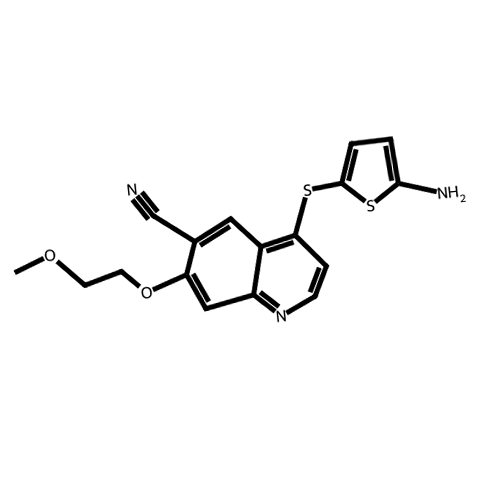 COCCOc1cc2nccc(Sc3ccc(N)s3)c2cc1C#N